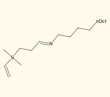 C=C[Si](C)(C)CCC=NCCCCCCCCCCCC